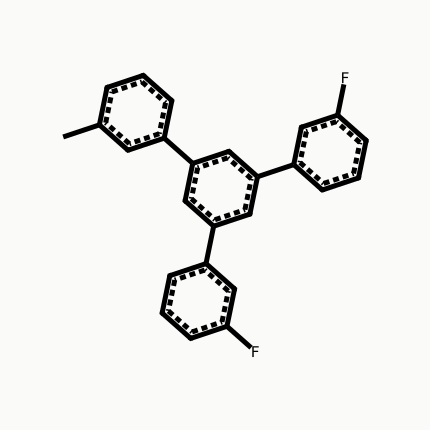 Cc1cccc(-c2cc(-c3cccc(F)c3)cc(-c3cccc(F)c3)c2)c1